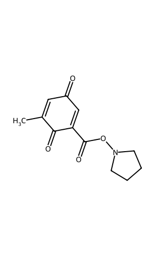 CC1=CC(=O)C=C(C(=O)ON2CCCC2)C1=O